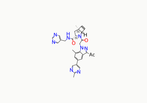 CC(=O)c1nn(CC(=O)N2[C@H](C(=O)NCc3cncnc3)C[C@@]3(C)C#C[C@@H]23)c2c(C)cc(-c3cnc(C)nc3)cc12